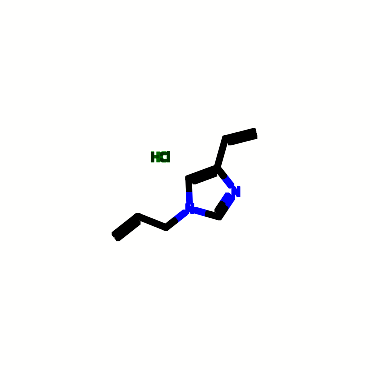 C=CCn1cnc(C=C)c1.Cl